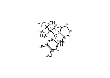 CC(C)(C)[Si](C)(C)O[C@@H]1CCCC[C@H]1Nc1ccc(F)c(Cl)c1